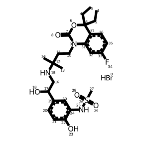 Br.CCC1(CC)OC(=O)N(CCC(C)(C)NCC(O)c2ccc(O)c(NS(C)(=O)=O)c2)c2cc(F)ccc21